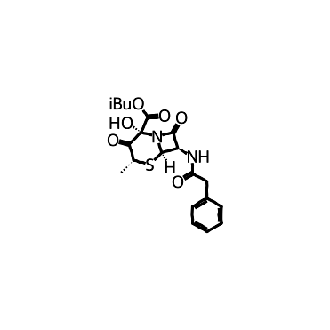 CC(C)COC(=O)[C@]1(O)C(=O)[C@@H](C)S[C@@H]2[C@H](NC(=O)Cc3ccccc3)C(=O)N21